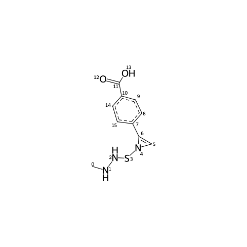 CNNSN1C=C1c1ccc(C(=O)O)cc1